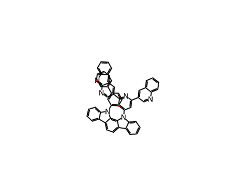 c1cc(-c2cnc3ccccc3c2)cc(-n2c3ccccc3c3ccc4c5ccccc5n(-c5cc(-c6cnc7ccccc7c6)nc(-c6cnc7ccccc7c6)c5)c4c32)c1